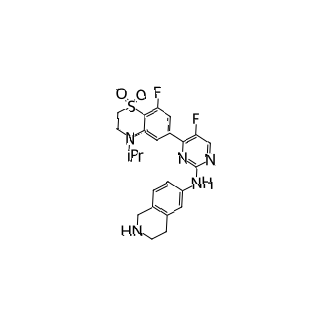 CC(C)N1CCS(=O)(=O)c2c(F)cc(-c3nc(Nc4ccc5c(c4)CCNC5)ncc3F)cc21